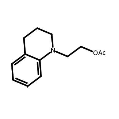 CC(=O)OCCN1CCCc2cc[c]cc21